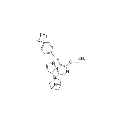 CCOc1ncc(CN2C3CC2CN(c2ccn(Cc4ccc(OC)cc4)n2)C3)cc1F